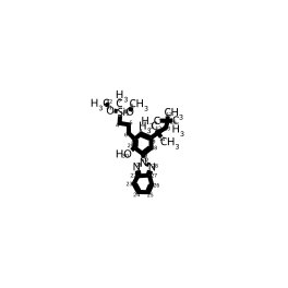 CO[Si](C)(CCCc1cc(C(C)(C)CC(C)(C)C)cc(-n2nc3ccccc3n2)c1O)OC